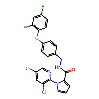 O=C(NCc1ccc(Oc2ccc(F)cc2F)cc1)c1cccn1-c1ncc(Cl)cc1Cl